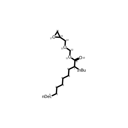 CCCCCCCCCCCCCCCCC(CCCC)C(=O)OCOCC1CO1